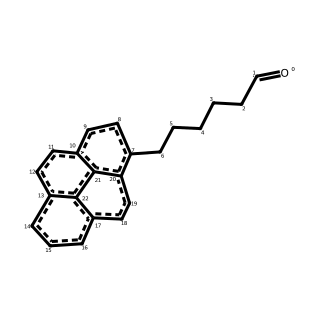 O=[C]CCCCCc1ccc2ccc3cccc4ccc1c2c34